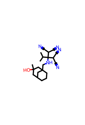 CC(C)C(NCC12CCCC(CC(C)(O)C1)C2)(C(C#N)C#N)C(C#N)C#N